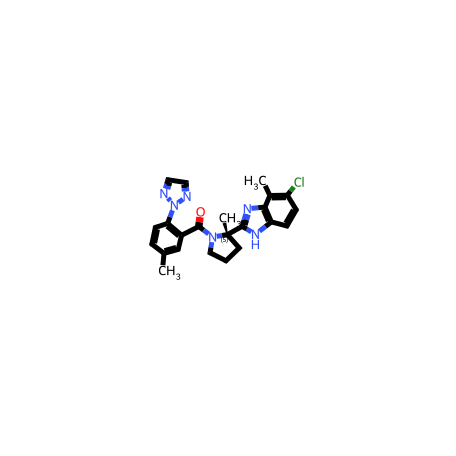 Cc1ccc(-n2nccn2)c(C(=O)N2CCC[C@@]2(C)c2nc3c(C)c(Cl)ccc3[nH]2)c1